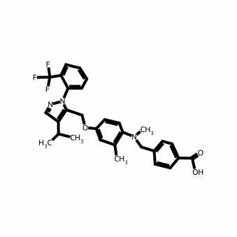 Cc1cc(OCc2c(C(C)C)cnn2-c2ccccc2C(F)(F)F)ccc1N(C)Cc1ccc(C(=O)O)cc1